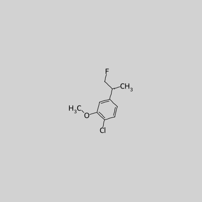 COc1cc([C](C)CF)ccc1Cl